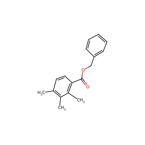 Cc1ccc(C(=O)OCc2ccccc2)c(C)c1C